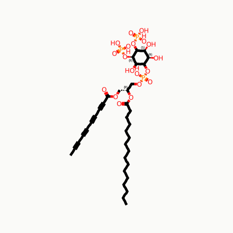 CC#CC#CC#CC#CC(=O)OC[C@H](COP(=O)(O)OC1C(O)[C@@H](OP(=O)(O)O)C(OP(=O)(O)O)[C@@H](O)[C@H]1O)OC(=O)CCCCCCCCCCCCCCC